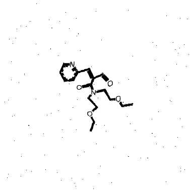 CCOCCN(CCOCC)C(=O)C([C]=O)=Cc1ccccn1